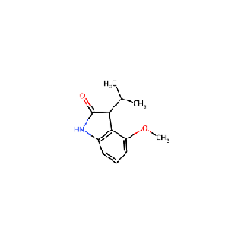 COc1cccc2c1C(C(C)C)C(=O)N2